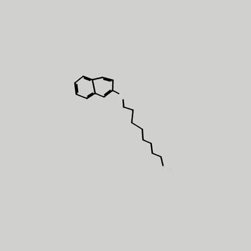 [CH2]CCCCCCCCOc1ccc2ccccc2c1